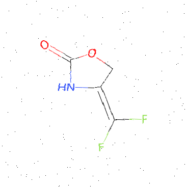 O=C1NC(=C(F)F)CO1